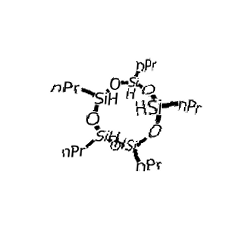 CCC[SiH]1O[SiH](CCC)O[SiH](CCC)O[SiH](CCC)O[SiH](CCC)O1